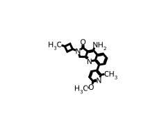 COc1ccc(-c2cccc3c(N)c4c(nc23)CN(C2CC(C)C2)C4=O)c(C)n1